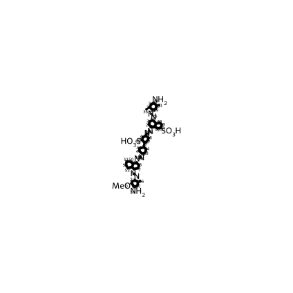 COc1cc(N=Nc2ccc(N=Nc3ccc(-c4ccc(N=Nc5ccc(N=Nc6cc(C)c(N)cc6C)c6ccc(S(=O)(=O)O)cc56)cc4S(=O)(=O)O)cc3)c3ccccc23)c(C)cc1N